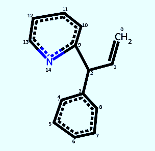 C=CC(c1[c]cccc1)c1ccccn1